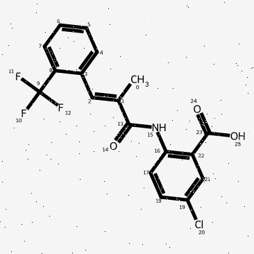 CC(=Cc1ccccc1C(F)(F)F)C(=O)Nc1ccc(Cl)cc1C(=O)O